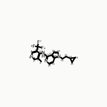 Cc1cncc(C(F)(F)F)c1Nc1nccc2c1ccn2CCC1CC1